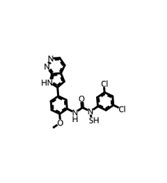 COc1ccc(-c2cc3ccnnc3[nH]2)cc1NC(=O)N(S)c1cc(Cl)cc(Cl)c1